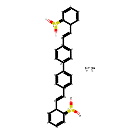 O=S(=O)=C1C=CC=CC1C=Cc1ccc(-c2ccc(C=CC3C=CC=CC3=S(=O)=O)cc2)cc1.[Na].[Na]